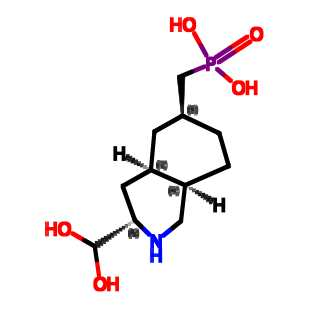 O=P(O)(O)C[C@H]1CC[C@H]2CN[C@H](C(O)O)C[C@H]2C1